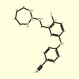 N#Cc1ccc(Oc2ccc(I)c(COB3OCCCCO3)c2)cc1